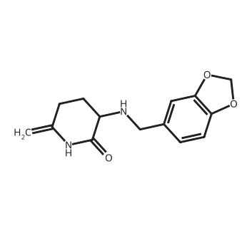 C=C1CCC(NCc2ccc3c(c2)OCO3)C(=O)N1